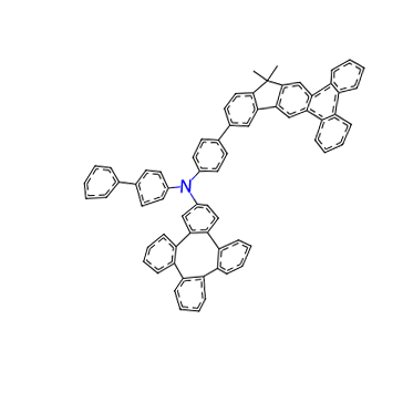 CC1(C)c2ccc(-c3ccc(N(c4ccc(-c5ccccc5)cc4)c4ccc5c(c4)-c4ccccc4-c4ccccc4-c4ccccc4-5)cc3)cc2-c2cc3c4ccccc4c4ccccc4c3cc21